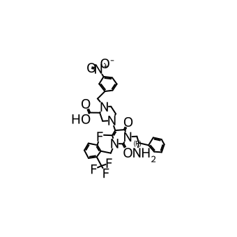 Cc1c(N2CCN(Cc3cccc([N+](=O)[O-])c3)C(C(=O)O)C2)c(=O)n(C[C@H](N)c2ccccc2)c(=O)n1Cc1c(F)cccc1C(F)(F)F